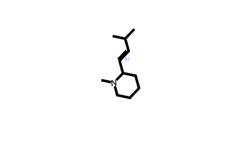 CC(C)/C=C/C1CCCCN1C